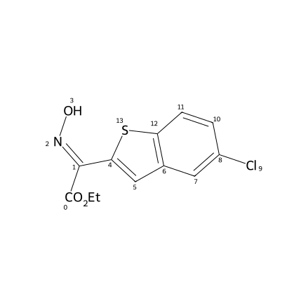 CCOC(=O)/C(=N/O)c1cc2cc(Cl)ccc2s1